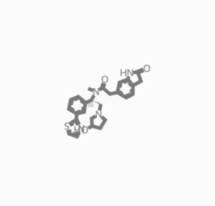 CN(C(=O)Cc1ccc2c(c1)NC(=O)C2)[C@H](CN1CCC(O)C1)c1cccc(-c2nccs2)c1